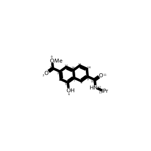 COC(=O)c1cc(O)c2cc(C(=O)NC(C)C)ccc2c1